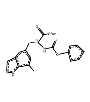 COC(=O)[C@@H](Cc1cc(C)c2[nH]ncc2c1)NC(=O)Oc1ccccc1